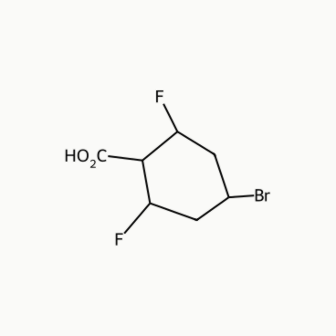 O=C(O)C1C(F)CC(Br)CC1F